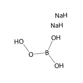 OOB(O)O.[NaH].[NaH]